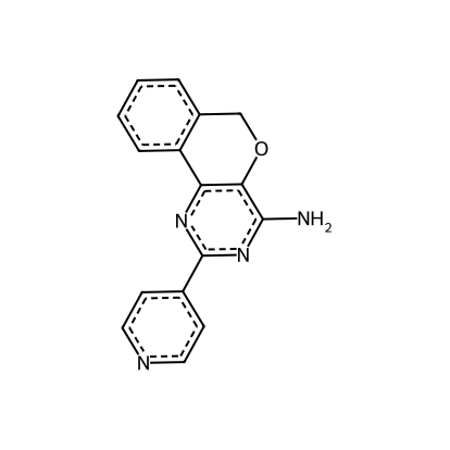 Nc1nc(-c2ccncc2)nc2c1OCc1ccccc1-2